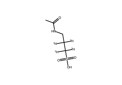 [2H]C([2H])(CNC(C)=O)C([2H])([2H])S(=O)(=O)O